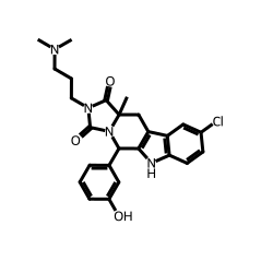 CN(C)CCCN1C(=O)N2C(c3cccc(O)c3)c3[nH]c4ccc(Cl)cc4c3CC2(C)C1=O